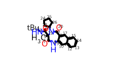 CC(C)(C)NC(=O)C1(C)C(=O)Nc2cc3ccccc3cc2C(=O)N1C1CCCC1